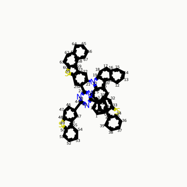 c1ccc2cc3c(cc2c1)c1c2ccccc2ccc1n3-c1cc2c(cc1-c1nc(-c3ccc4sc5ccccc5c4c3)nc(-c3ccc4sc5ccccc5c4c3)n1)sc1ccc3ccccc3c12